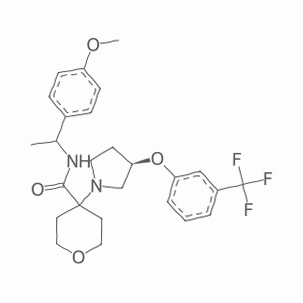 COc1ccc(C(C)NC(=O)C2(N3CC[C@@H](Oc4cccc(C(F)(F)F)c4)C3)CCOCC2)cc1